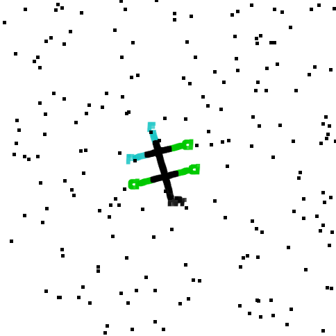 CCCC(Cl)(Cl)C(F)(F)Cl